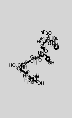 CCCC(=O)OCN(C(=O)C(NC(=O)[C@H]1CCCCN1C)[C@@H](C)CC)[C@H](C[C@@H](O)c1nc(C(=O)N[C@@H](Cc2ccc(O)cc2)C[C@H](C)C(=O)NNC(=O)OCCSSC[C@@H](NC(=O)[C@@H](C)CCC(=O)NC[C@H](O)[C@@H](O)[C@H](O)[C@H](O)CO)C(=O)O)cs1)C(C)C